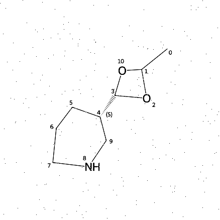 CC1OC([C@H]2CCCNC2)O1